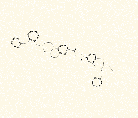 CN(C)CC[C@H](CSc1ccccc1)Nc1ccc(S(=O)(=O)NC(=O)c2ccc3c(c2)CCC2CN(Cc4ccccc4Oc4ccccc4)CCN32)cc1[N+](=O)[O-]